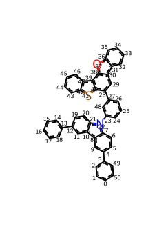 c1ccc(-c2ccc3c(c2)c2cc(-c4ccccc4)ccc2n3-c2cccc(-c3cc4c5ccccc5oc4c4c3sc3ccccc34)c2)cc1